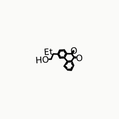 CCC(CO)c1ccc2c(c1)-c1ccccc1C(=O)C2=O